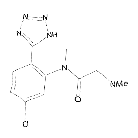 CNCC(=O)N(C)c1cc(Cl)ccc1-c1nnn[nH]1